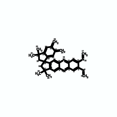 C=Nc1cc2nc3cc4c(cc3nc2cc1N=C)C1(CC(C)(C)c2cc(=C)c(=C)cc21)CC4(C)C